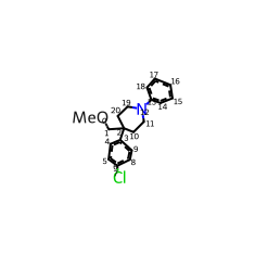 COCC1(c2ccc(Cl)cc2)CCN(c2ccccc2)CC1